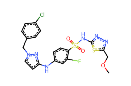 COCc1nnc(NS(=O)(=O)c2ccc(Nc3ccn(Cc4ccc(Cl)cc4)n3)cc2F)s1